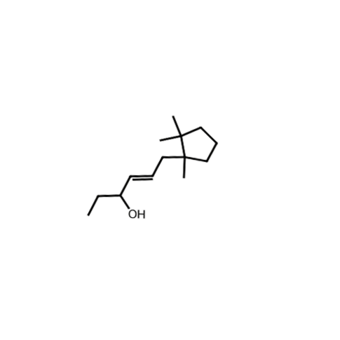 CCC(O)C=CCC1(C)CCCC1(C)C